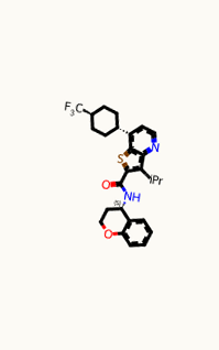 CC(C)c1c(C(=O)N[C@H]2CCOc3ccccc32)sc2c1nccc2[C@H]1CC[C@H](C(F)(F)F)CC1